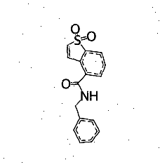 O=C(NCc1ccccc1)c1cccc2c1C=CS2(=O)=O